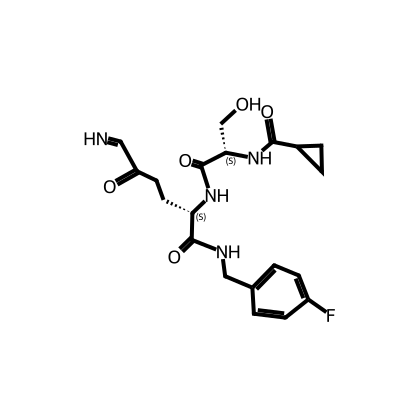 N=CC(=O)CC[C@H](NC(=O)[C@H](CO)NC(=O)C1CC1)C(=O)NCc1ccc(F)cc1